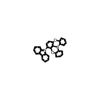 c1ccc2c(c1)Oc1ccc(-n3c4ccccc4c4ccccc43)c3c1B2c1ccccc1O3